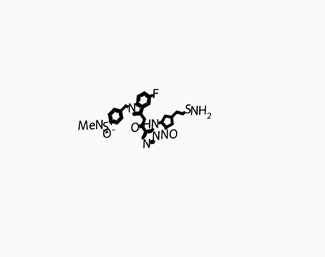 CN[S+]([O-])c1ccc(Cn2cc(CC(=O)c3cncnc3NC3CC(CCSN)CC3N=O)c3cc(F)ccc32)cc1